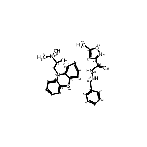 CC(CN1c2ccccc2Sc2ccccc21)N(C)C.Cc1cc(C(=O)NNCc2ccccc2)no1